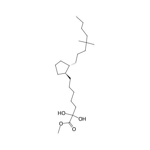 CCCCC(C)(C)CCC[C@H]1CCC[C@@H]1CCCCCC(O)(O)C(=O)OC